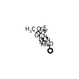 CC[C@H]1O[C@@H](n2cnc3c(NC(=O)c4ccccc4)ncnc32)[C@H](OC(F)(F)F)C1=O